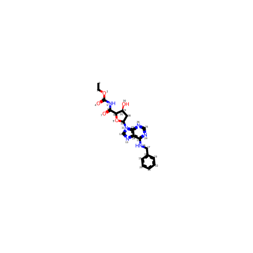 CCOC(=O)NC(=O)C1OC(n2cnc3c(NCc4ccccc4)ncnc32)C[C@@H]1O